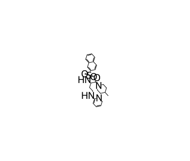 CC1CCN(C(=O)C(CCNc2ccccn2)NS(=O)(=O)c2ccc3ccccc3c2)CC1